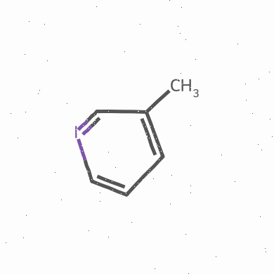 CC1=CC=CI=C1